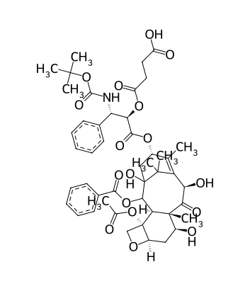 CC(=O)O[C@@]12CO[C@@H]1C[C@H](O)[C@@]1(C)C(=O)[C@H](O)C3=C(C)[C@@H](OC(=O)[C@H](OC(=O)CCC(=O)O)[C@@H](NC(=O)OC(C)(C)C)c4ccccc4)CC(O)(C(OC(=O)c4ccccc4)[C@H]21)C3(C)C